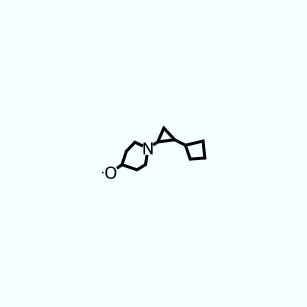 [O]C1CCN(C2CC2C2CCC2)CC1